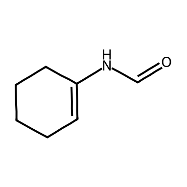 O=CNC1=CCCCC1